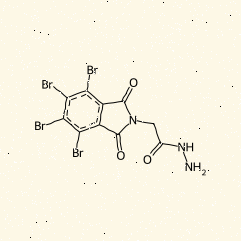 NNC(=O)CN1C(=O)c2c(Br)c(Br)c(Br)c(Br)c2C1=O